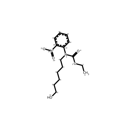 CCOC(=O)N(CCCCCCO)c1ccccc1[N+](=O)[O-]